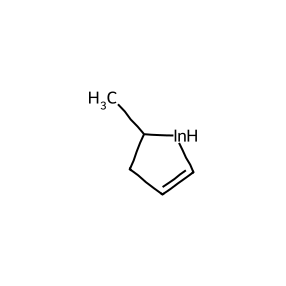 C[CH]1CC=[CH][InH]1